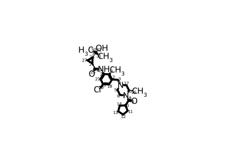 Cc1c(CN2CCN(C(=O)C3CCCC3)[C@@H](C)C2)cc(Cl)cc1NC(=O)[C@H]1C[C@@H]1C(C)(C)O